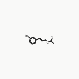 CC(=O)OCC=Cc1cccc(Br)c1